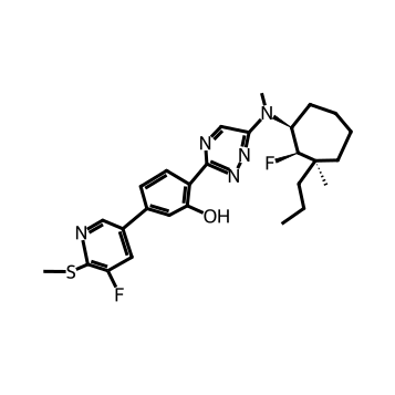 CCC[C@]1(C)CCCC[C@H](N(C)c2cnc(-c3ccc(-c4cnc(SC)c(F)c4)cc3O)nn2)[C@@H]1F